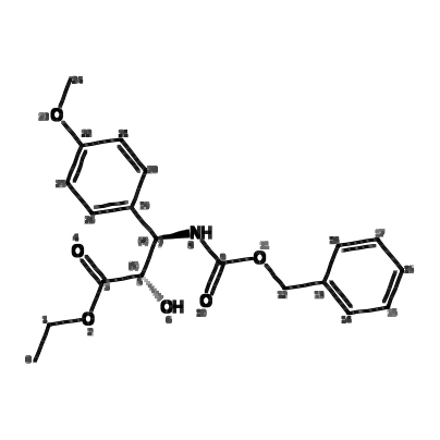 CCOC(=O)[C@@H](O)[C@H](NC(=O)OCc1ccccc1)c1ccc(OC)cc1